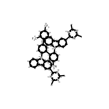 Cc1nc(C)nc(-c2ccc3c(c2)c2ccccc2n3-c2ccc(C#N)cc2-c2cc(-c3ccc(C(F)(F)F)cc3C(F)(F)F)ccc2-n2c3ccccc3c3cc(-c4nc(C)nc(C)n4)ccc32)n1